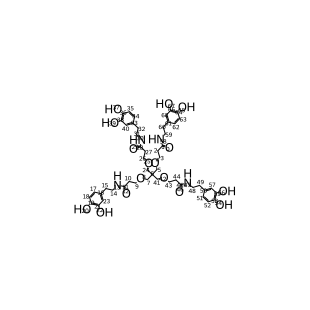 O=C(CCOCC(COCCC(=O)NCCc1ccc(O)c(O)c1)(COCCC(=O)NCCc1ccc(O)c(O)c1)COCCC(=O)NCCc1ccc(O)c(O)c1)NCCc1ccc(O)c(O)c1